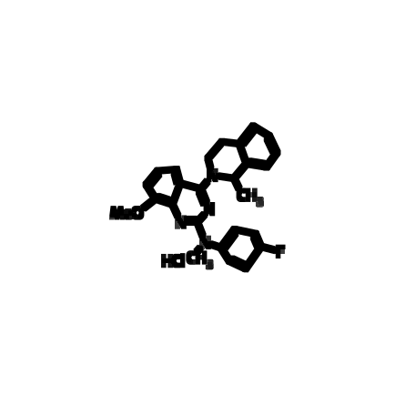 COc1cccc2c(N3CCc4ccccc4C3C)nc(N(C)c3ccc(F)cc3)nc12.Cl